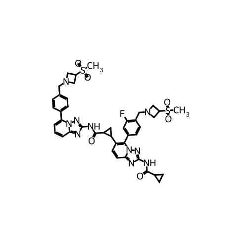 CS(=O)(=O)C1CN(Cc2ccc(-c3cccc4nc(NC(=O)C5CC5c5ccc6nc(NC(=O)C7CC7)nn6c5-c5ccc(CN6CC(S(C)(=O)=O)C6)c(F)c5)nn34)cc2)C1